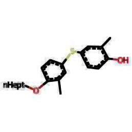 CCCCCCCOc1ccc(Sc2ccc(O)c(C)c2)cc1C